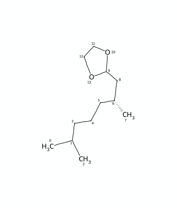 CC(C)CCC[C@@H](C)CC1OCCO1